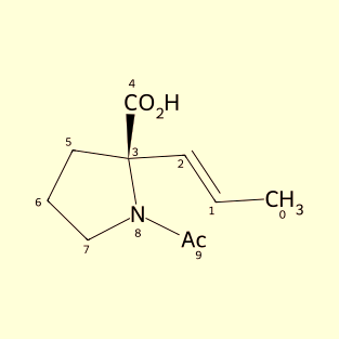 CC=C[C@@]1(C(=O)O)CCCN1C(C)=O